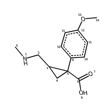 CNCC1CC1(C(=O)O)c1ccc(OC)cc1